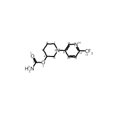 NC(=O)OC1CCCN(c2ccc(C(F)(F)F)nc2)C1